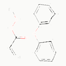 C=CC(=O)OOCC.c1ccc(Oc2ccccc2)cc1